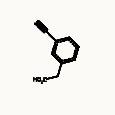 C#Cc1cccc(CC(=O)O)c1